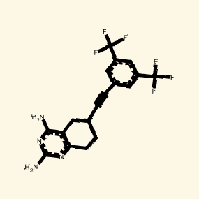 Nc1nc(N)c2c(n1)CCC(C#Cc1cc(C(F)(F)F)cc(C(F)(F)F)c1)C2